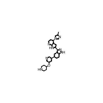 Cc1cn(-c2ccnc3[nH]c(-c4n[nH]c5ccc(-c6cncc(OC7CCNCC7)c6)cc45)cc23)cn1